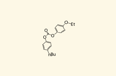 CCCCc1ccc(OC(=O)Oc2ccc(OCC)cc2)cc1